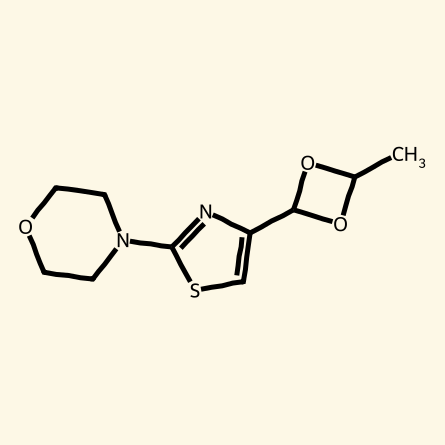 CC1OC(c2csc(N3CCOCC3)n2)O1